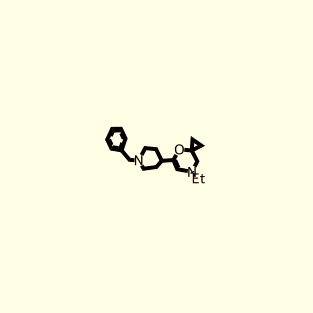 CCN1C=C(C2CCN(Cc3ccccc3)CC2)OC2(CC2)C1